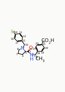 C[C@H](NC(=O)[C@H]1CCCN1Cc1ccc(F)cc1)c1ccc(C(=O)O)cc1